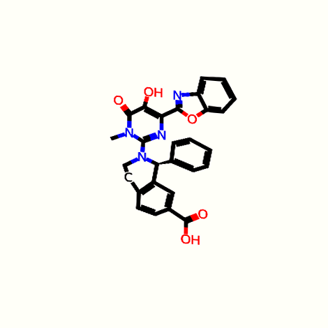 Cn1c(N2CCc3ccc(C(=O)O)cc3[C@@H]2c2ccccc2)nc(-c2nc3ccccc3o2)c(O)c1=O